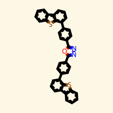 c1ccc2c(c1)sc1c(-c3ccc(-c4nnc(-c5ccc(-c6cccc7c6sc6ccccc67)cc5)o4)cc3)cccc12